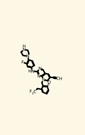 C#Cc1cc2cnc(Nc3ccc(N4CCNCC4)c(F)c3)nc2n(Cc2c(F)cccc2CC(F)(F)F)c1=O